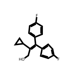 OCC(=C(c1ccc(F)cc1)c1ccc(F)cc1)C1CC1